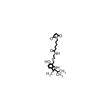 Cc1c(C(C)C)[nH]c2c(CSCCNC(=O)CCCCCN3C(=O)C=CC3=O)c(O)ccc12